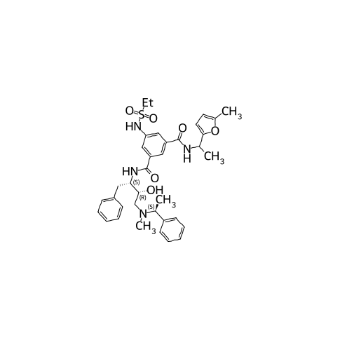 CCS(=O)(=O)Nc1cc(C(=O)NC(C)c2ccc(C)o2)cc(C(=O)N[C@@H](Cc2ccccc2)[C@H](O)CN(C)[C@@H](C)c2ccccc2)c1